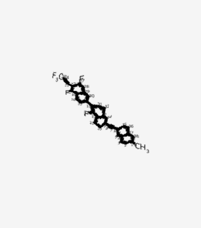 Cc1ccc2cc(C#Cc3ccc4c(F)c(-c5ccc6c(F)c(C#CC(F)(F)F)c(F)cc6c5)ccc4c3)ccc2c1